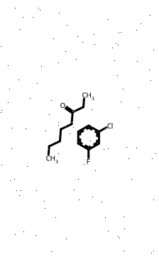 CCCCCC(=O)CC.Fc1cccc(Cl)c1